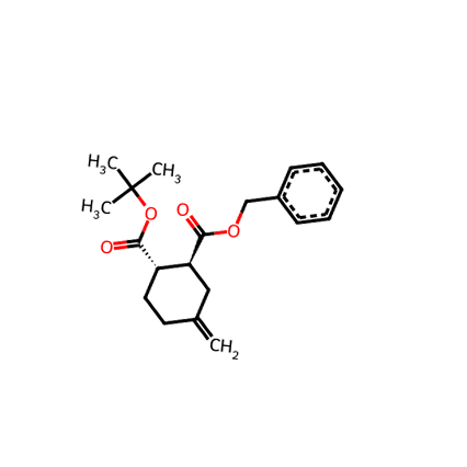 C=C1CC[C@H](C(=O)OC(C)(C)C)[C@@H](C(=O)OCc2ccccc2)C1